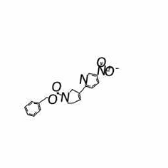 O=C(OCc1ccccc1)N1CCC=C(c2ccc([N+](=O)[O-])cn2)C1